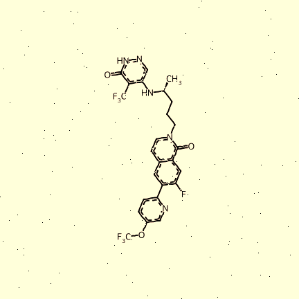 C[C@@H](CCCn1ccc2cc(-c3ccc(OC(F)(F)F)cn3)c(F)cc2c1=O)Nc1cn[nH]c(=O)c1C(F)(F)F